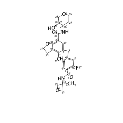 Cc1c(Cc2ccc(C(=O)NC3(C)COC3)c(F)c2)cc(C(=O)N[C@H]2CCOC[C@@H]2O)c2c1CCO2